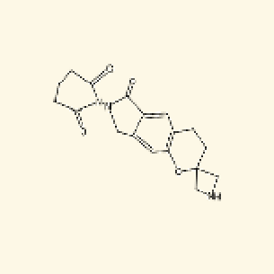 O=C1c2cc3c(cc2CN1N1C(=O)CCCC1=O)OC1(CC3)CNC1